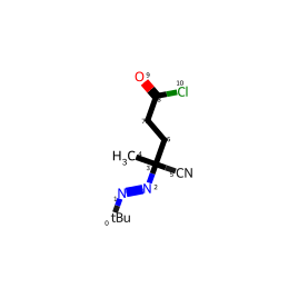 CC(C)(C)N=NC(C)(C#N)CCC(=O)Cl